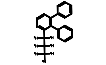 [2H]C([2H])([2H])C([2H])([2H])C([2H])([2H])c1nccc(-c2ccccc2)c1-c1ccccc1